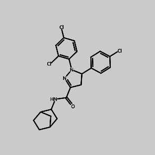 O=C(NC1CC2CCC1C2)C1=NN(c2ccc(Cl)cc2Cl)C(c2ccc(Cl)cc2)C1